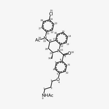 CC(=O)NCCCOc1ccc(C(=O)N2c3ccccc3[C@H](N(C(C)=O)c3ccc(Cl)cc3)C[C@@H]2C)cc1